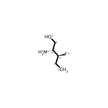 CC[C@H](F)[C@H](N)CO